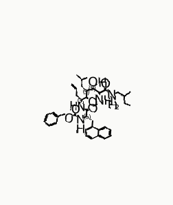 C=CC[C@H](NC(=O)[C@H](Cc1cccc2ccccc12)NC(=O)OCc1ccccc1)C(=O)[C@@H](CC(C)C)[C@H](O)C(N)C(=O)NCC(C)CC